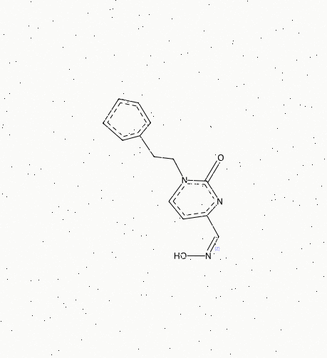 O=c1nc(/C=N\O)ccn1CCc1ccccc1